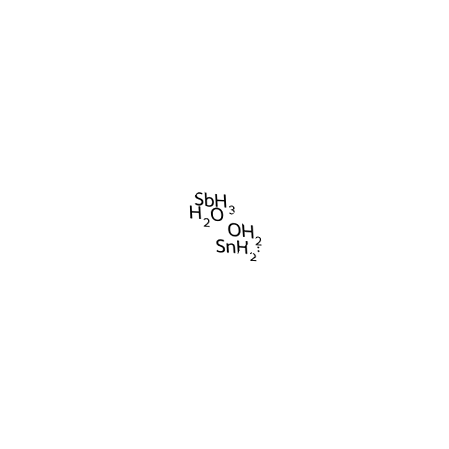 O.O.[SbH3].[SnH2]